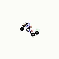 O=C(Cc1cccc(-c2cccc(Cl)c2)c1)N1CCCc2nc(C3(c4cc(-c5ccccc5)cs4)CC3)[nH]c(=O)c2C1